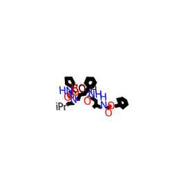 CC(C)CCN(CCCC(O)(NC(=O)CC(C)CNC(=O)OCc1ccccc1)c1ccccc1)S(=O)(=O)NC1(C(=O)O)CCCC1